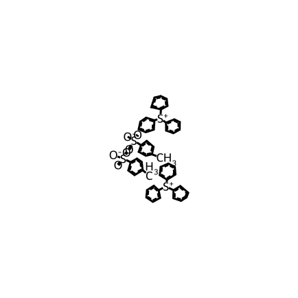 Cc1ccc(S(=O)(=O)[O-])cc1.Cc1ccc(S(=O)(=O)[O-])cc1.c1ccc([S+](c2ccccc2)c2ccccc2)cc1.c1ccc([S+](c2ccccc2)c2ccccc2)cc1